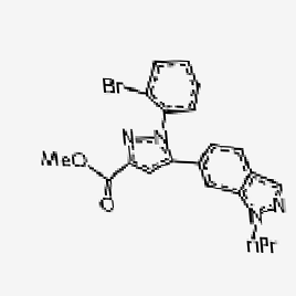 CCCn1ncc2ccc(-c3cc(C(=O)OC)nn3-c3ccccc3Br)cc21